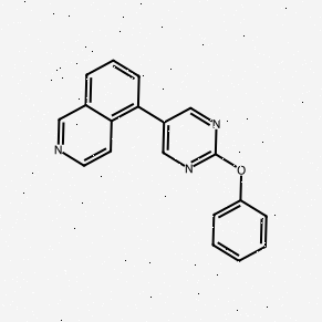 c1ccc(Oc2ncc(-c3cccc4cnccc34)cn2)cc1